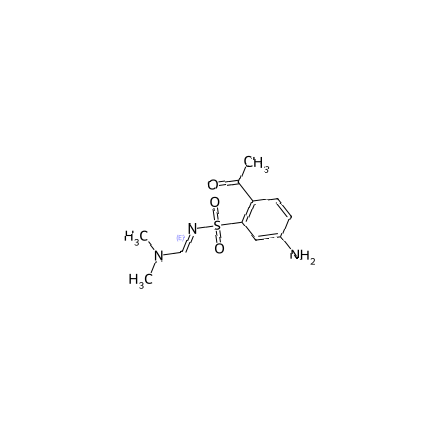 CC(=O)c1ccc(N)cc1S(=O)(=O)/N=C/N(C)C